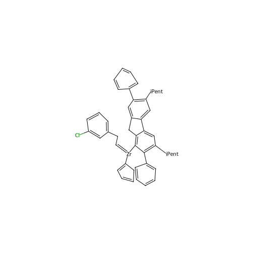 CCCC(C)c1cc2c(cc1-c1ccccc1)Cc1c-2cc(C(C)CCC)c(-c2ccccc2)[c]1/[Zr](=[CH]\Cc1cccc(Cl)c1)[C]1=CC=CC1